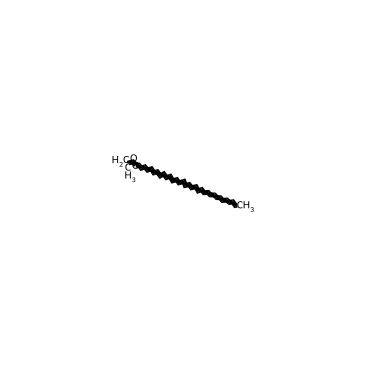 C=C(C)C(=O)OCCCCCCCCCCCCCCCCCCCCCCCCCCCCCCCCC